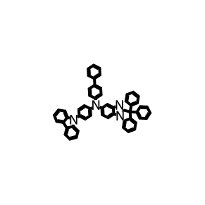 c1ccc(-c2ccc(N(c3ccc(-n4c5ccccc5c5ccccc54)cc3)c3ccc4c(c3)nc3n4-c4ccccc4C3(c3ccccc3)c3ccccc3)cc2)cc1